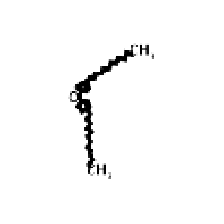 CCCCCCCCCCCCCc1ccc(C(=O)c2ccc(CCCCCCCCCCCCC)cc2)cc1